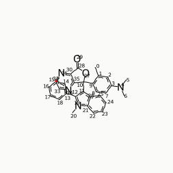 Cc1cc(N(C)C)ccc1C1(c2c(-c3ccccc3)n(C)c3ccccc23)OC(=O)c2nccnc21